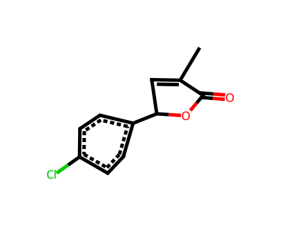 CC1=CC(c2ccc(Cl)cc2)OC1=O